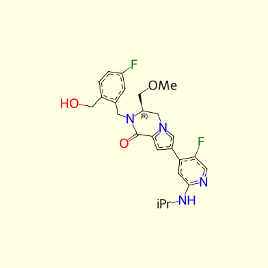 COC[C@H]1Cn2cc(-c3cc(NC(C)C)ncc3F)cc2C(=O)N1Cc1cc(F)ccc1CO